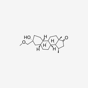 COC[C@@]1(O)CC[C@H]2[C@H](CC[C@@H]3[C@@H]2CC[C@]2(C)C(=O)C[C@@H](C)[C@@H]32)C1